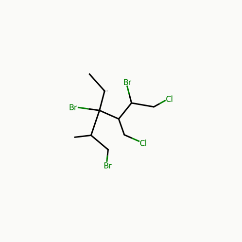 C[CH]C(Br)(C(C)CBr)C(CCl)C(Br)CCl